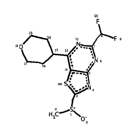 C[S+]([O-])c1nc2nc(C(F)F)nc(C3CCOCC3)c2s1